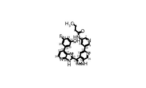 CCCC(=O)Nc1cncc(-c2cc3c(-c4nc5c(-c6cc(O)cc(F)c6)ccnc5[nH]4)n[nH]c3cn2)c1